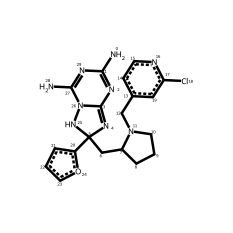 NC1=NC2=NC(CC3CCCN3Cc3ccnc(Cl)c3)(c3ccco3)NN2C(N)=N1